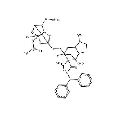 CCCCCOC1C2OC3(O[SiH](C)C)OC(OCC45CC6C(C)CCC6C6(C=O)CC4C=C(C(C)C)C65C(=O)OC(c4ccccc4)c4ccccc4)(OC13)C2C(C)(C)C